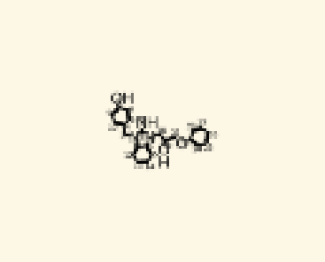 N=c1n(Cc2ccc(O)cc2)c2ccccc2n1CC(O)COc1ccccc1